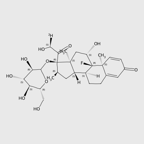 [2H][C@H](O)C(=O)[C@@]1(OC2O[C@H](CO)[C@@H](O)[C@H](O)[C@H]2O)[C@H](C)C[C@H]2[C@@H]3CCC4=CC(=O)C=C[C@]4(C)[C@@]3(F)[C@@H](O)C[C@@]21C